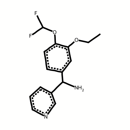 CCOc1cc(C(N)c2cccnc2)ccc1OC(F)F